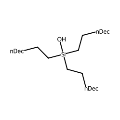 CCCCCCCCCCCC[Si](O)(CCCCCCCCCCCC)CCCCCCCCCCCC